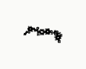 C=CCOc1cccc(C=CC(=O)NN2CCN(c3ccc(OC[C@@H]4CO[C@](C)(c5ccc(Cl)cc5Cl)O4)cc3)CC2)c1